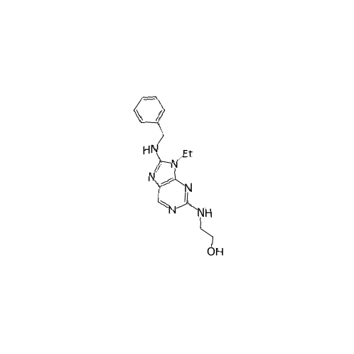 CCn1c(NCc2ccccc2)nc2cnc(NCCO)nc21